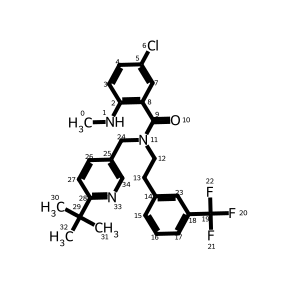 CNc1ccc(Cl)cc1C(=O)N(CCc1cccc(C(F)(F)F)c1)Cc1ccc(C(C)(C)C)nc1